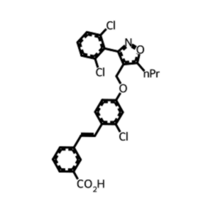 CCCc1onc(-c2c(Cl)cccc2Cl)c1COc1ccc(C=Cc2cccc(C(=O)O)c2)c(Cl)c1